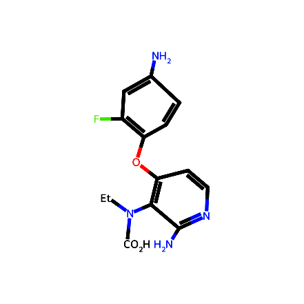 CCN(C(=O)O)c1c(Oc2ccc(N)cc2F)ccnc1N